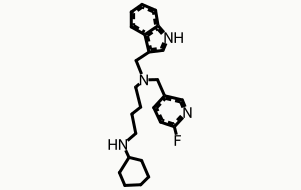 Fc1ccc(CN(CCCCNC2CCCCC2)Cc2c[nH]c3ccccc23)cn1